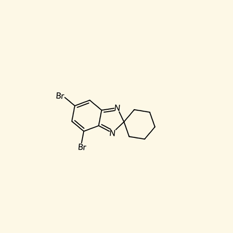 Brc1cc(Br)c2c(c1)=NC1(CCCCC1)N=2